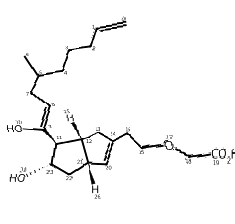 C=CCCCC(C)CC=C(O)[C@H]1[C@@H]2CC(CCOCC(=O)O)=C[C@@H]2C[C@@H]1O